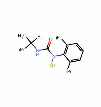 CCCC(C)(CC)NC(=O)N(S)c1c(C(C)C)cccc1C(C)C